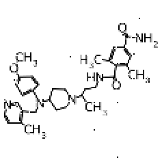 COc1ccc(N(Cc2cnccc2C)C2CCN(C(C)CCNC(=O)c3c(C)cc(C(N)=O)cc3C)CC2)cc1